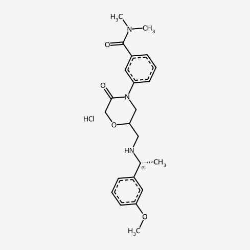 COc1cccc([C@@H](C)NCC2CN(c3cccc(C(=O)N(C)C)c3)C(=O)CO2)c1.Cl